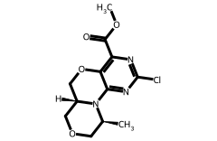 COC(=O)c1nc(Cl)nc2c1OC[C@H]1COC[C@H](C)N21